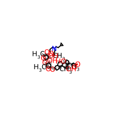 CC1CN(CCC2CC2)CCC(O[C@@H]2[C@H](C)O[C@@H](O[C@@H]3[C@H](C)O[C@@H](O[C@H]4CC[C@@]5(C)C(CCC6C5C[C@H](O)[C@]5(C)[C@@H](C7=CC(=O)OC7)CC[C@]65O)C4)C[C@@H]3O)C[C@@H]2O)O1